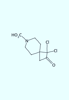 O=C(O)N1CCC2(CC1)CC(=O)C2(Cl)Cl